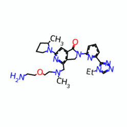 CCn1cnnc1-c1cccc(N2Cc3c(cc(N4CCC[C@H]4C)nc3CN(C)CCOCCN)C2=O)n1